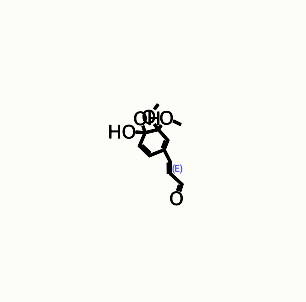 COC1(OC)C=C(/C=C/C=O)C=CC1(O)O